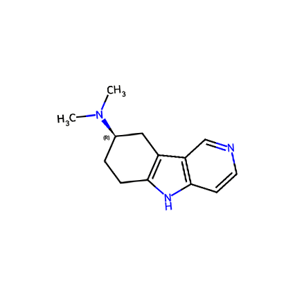 CN(C)[C@@H]1CCc2[nH]c3ccncc3c2C1